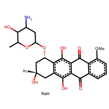 COc1cccc2c1C(=O)c1c(O)c3c(c(O)c1C2=O)C[C@@](O)(C(C)=O)C[C@@H]3OC1CC(N)C(O)C(C)O1.[NaH]